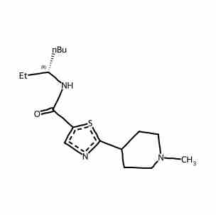 CCCC[C@@H](CC)NC(=O)c1cnc(C2CCN(C)CC2)s1